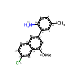 COc1cc(-c2cc(C)ccc2N)cc2ccc(Cl)cc12